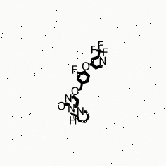 O=c1nc(OCc2ccc(Oc3ccnc(C(F)(F)F)c3)c(F)c2)cc2n1C[C@@H]1CCCCN21